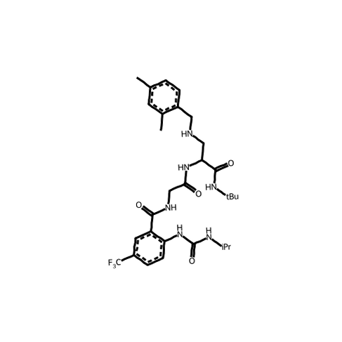 Cc1ccc(CNCC(NC(=O)CNC(=O)c2cc(C(F)(F)F)ccc2NC(=O)NC(C)C)C(=O)NC(C)(C)C)c(C)c1